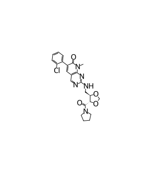 Cn1c(=O)c(-c2ccccc2Cl)cc2cnc(NC[C@H]3OCO[C@@H]3C(=O)N3CCCC3)nc21